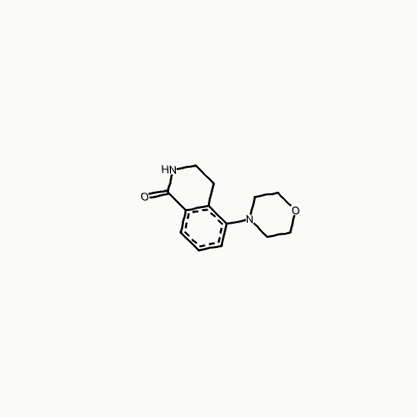 O=C1NCCc2c1cccc2N1CCOCC1